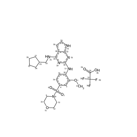 COc1cc(S(=O)(=O)N2CCOCC2)ccc1Nc1nc(NCC2CCCC2)c2cc[nH]c2n1.O=C(O)C(F)(F)F